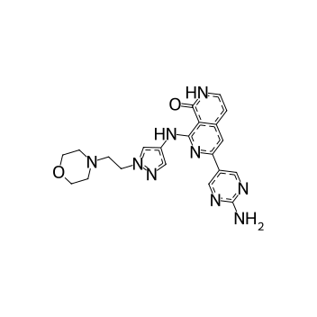 Nc1ncc(-c2cc3cc[nH]c(=O)c3c(Nc3cnn(CCN4CCOCC4)c3)n2)cn1